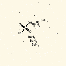 O=S(=O)(O)O.[BaH2].[BaH2].[BaH2].[BaH2].[BaH2].[BaH2]